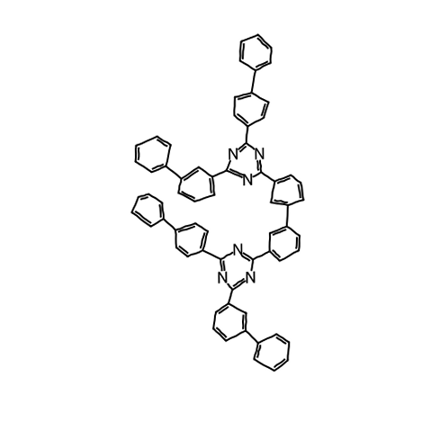 c1ccc(-c2ccc(-c3nc(-c4cccc(-c5ccccc5)c4)nc(-c4cccc(-c5cccc(-c6nc(-c7ccc(-c8ccccc8)cc7)nc(-c7cccc(-c8ccccc8)c7)n6)c5)c4)n3)cc2)cc1